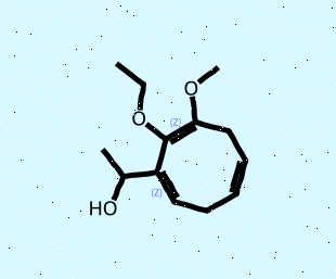 CCOC1=C(\OC)CC=CC/C=C\1C(C)O